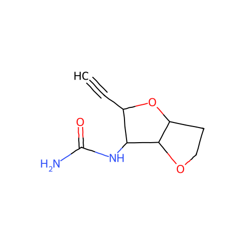 C#CC1OC2CCOC2C1NC(N)=O